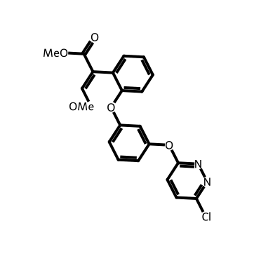 CO/C=C(/C(=O)OC)c1ccccc1Oc1cccc(Oc2ccc(Cl)nn2)c1